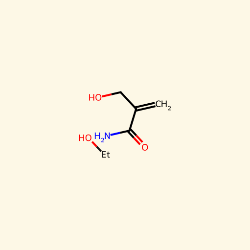 C=C(CO)C(N)=O.CCO